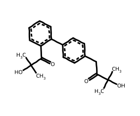 CC(C)(O)C(=O)Cc1ccc(-c2ccccc2C(=O)C(C)(C)O)cc1